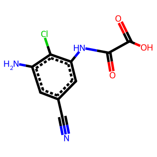 N#Cc1cc(N)c(Cl)c(NC(=O)C(=O)O)c1